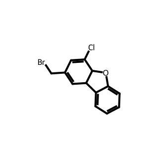 ClC1=CC(CBr)=CC2c3ccccc3OC12